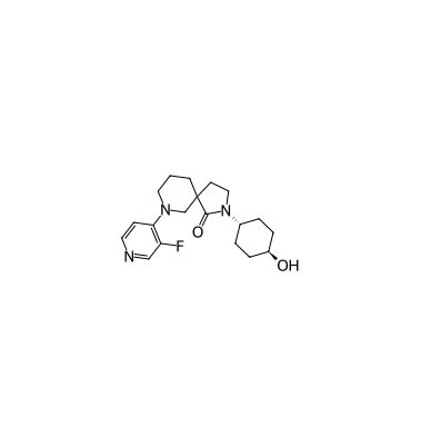 O=C1N([C@H]2CC[C@H](O)CC2)CCC12CCCN(c1ccncc1F)C2